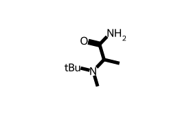 CC(C(N)=O)N(C)C(C)(C)C